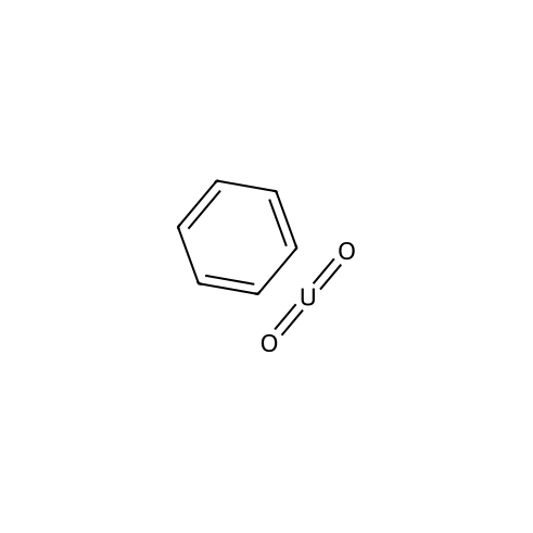 [O]=[U]=[O].c1ccccc1